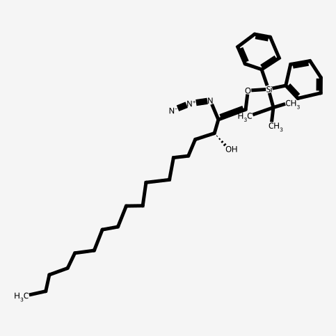 CCCCCCCCCCCCCCC[C@@H](O)/C(=C/O[Si](c1ccccc1)(c1ccccc1)C(C)(C)C)N=[N+]=[N-]